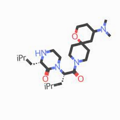 CC(C)C[C@@H]1NCCN([C@@H](CC(C)C)C(=O)N2CCC3(CC2)CC(N(C)C)CCO3)C1=O